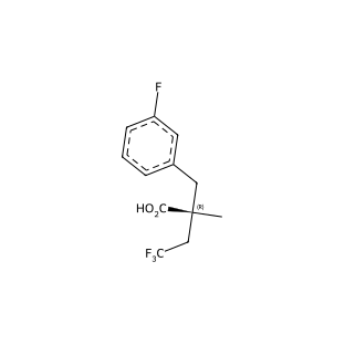 C[C@@](Cc1cccc(F)c1)(CC(F)(F)F)C(=O)O